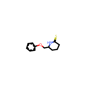 S=C1CCCC(COc2ccccc2)N1